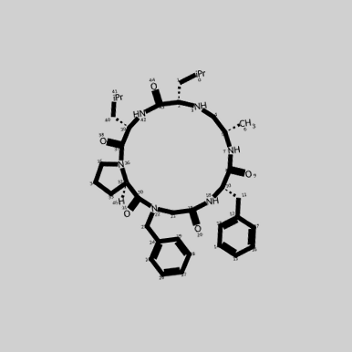 CC(C)C[C@@H]1NC[C@H](C)NC(=O)[C@H](Cc2ccccc2)NC(=O)CN(Cc2ccccc2)C(=O)[C@H]2CCCN2C(=O)[C@H](CC(C)C)NC1=O